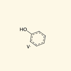 Oc1ccccc1.[V]